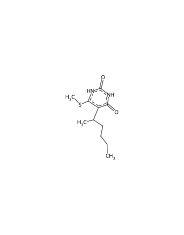 CCCCC(C)c1c(SC)[nH]c(=O)[nH]c1=O